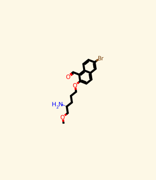 COC[C@H](N)CCCOc1ccc2cc(Br)ccc2c1C=O